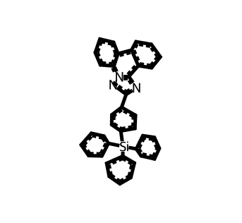 c1ccc([Si](c2ccccc2)(c2ccccc2)c2ccc(-c3nc4c5ccccc5c5ccccc5n4n3)cc2)cc1